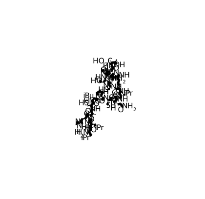 CC[C@H](C)[C@H](NC(=O)[C@H](CS)NC(=O)[C@H](C)NC(=O)[C@H](Cc1c[nH]cn1)NC(=O)[C@H](CC(C)C)NC(=O)[C@@H](N)CC(C)C)C(=O)N1CCC[C@H]1C(=O)N[C@@H](CS)C(=O)N[C@@H](CCC(N)=O)C(=O)N[C@@H](CC(C)C)C(=O)N[C@@H](CCCNC(=N)N)C(=O)N[C@@H](CS)C(=O)N[C@@H](CO)C(=O)N[C@@H](CO)C(=O)N[C@@H](CC(N)=O)C(=O)N[C@H](C(=O)O)[C@@H](C)O